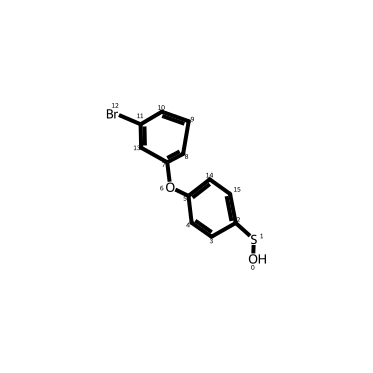 OSc1ccc(Oc2cccc(Br)c2)cc1